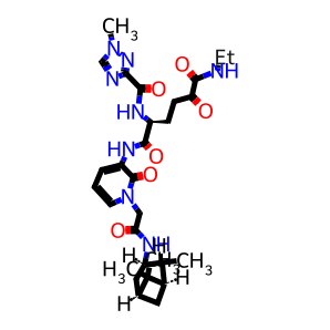 CCNC(=O)C(=O)CC[C@H](NC(=O)c1ncn(C)n1)C(=O)Nc1cccn(CC(=O)N[C@@H]2C[C@@H]3C[C@H]([C@H]2C)C3(C)C)c1=O